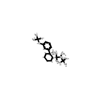 [2H]C([2H])([2H])Oc1cccc([C@]2(O)CCCC[C@H]2C([2H])([2H])N(C)C([2H])([2H])[2H])c1